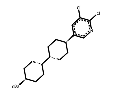 CCCC[C@H]1CC[C@H]([C@H]2CC[C@H](c3cnc(Cl)c(Cl)c3)CC2)CC1